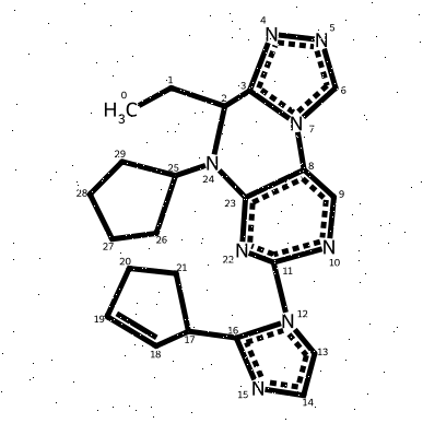 CCC1c2nncn2-c2cnc(-n3ccnc3C3C=CCC3)nc2N1C1CCCC1